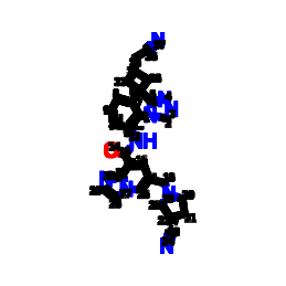 Cn1cnnc1C1(c2cccc(NC(=O)c3cc(CN4CC[C@H](C#N)C4)cn4ccnc34)c2)CC(CC#N)C1